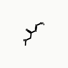 CNCC(=O)N=NN